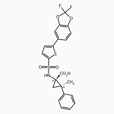 C[C@]1(c2ccccc2)C[C@@]1(NS(=O)(=O)c1ccc(-c2ccc3c(c2)OC(F)(F)O3)s1)C(=O)O